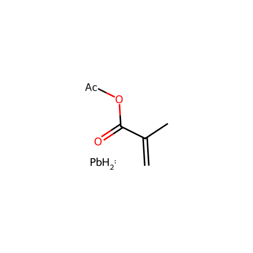 C=C(C)C(=O)OC(C)=O.[PbH2]